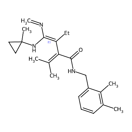 C=N/C(NC1(C)CC1)=C(\CC)C(C(=O)NCc1cccc(C)c1C)=C(C)C